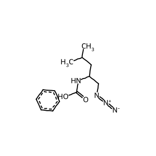 CC(C)CC(CN=[N+]=[N-])NC(=O)O.c1ccccc1